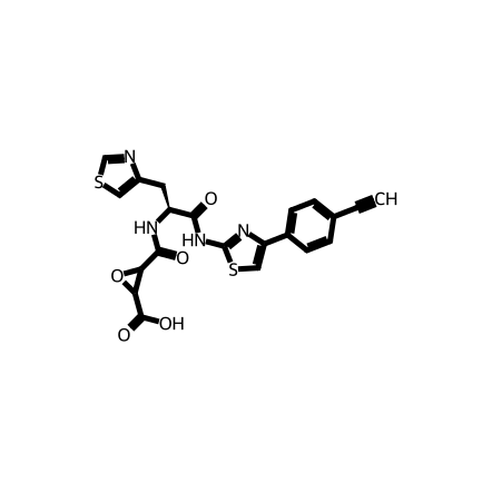 C#Cc1ccc(-c2csc(NC(=O)[C@H](Cc3cscn3)NC(=O)C3OC3C(=O)O)n2)cc1